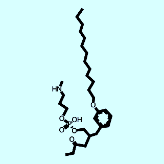 CCCCCCCCCCCCCOc1cccc(CC(COP(=O)(O)OCCCNC)CC(=O)CC)c1